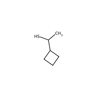 CC(S)C1CCC1